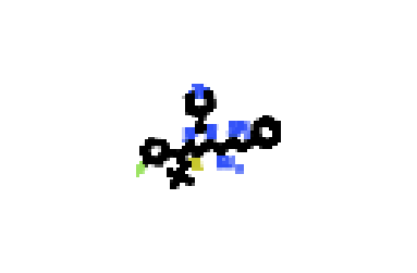 CC(C)(C)c1sc2c(C(N)C(N)Cc3ccccc3)nc(-c3ccncc3)nc2c1-c1cccc(F)c1